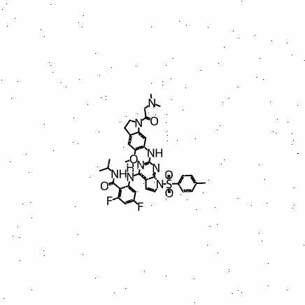 COc1cc2c(cc1Nc1nc(Nc3cc(F)cc(F)c3C(=O)NC(C)C)c3ccn(S(=O)(=O)c4ccc(C)cc4)c3n1)N(C(=O)CN(C)C)CC2